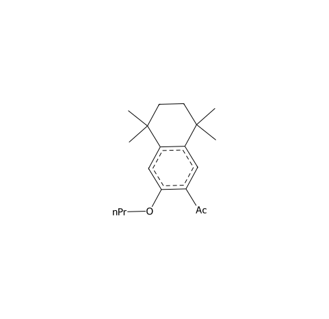 CCCOc1cc2c(cc1C(C)=O)C(C)(C)CCC2(C)C